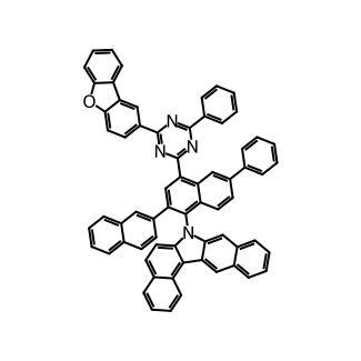 c1ccc(-c2ccc3c(-n4c5cc6ccccc6cc5c5c6ccccc6ccc54)c(-c4ccc5ccccc5c4)cc(-c4nc(-c5ccccc5)nc(-c5ccc6oc7ccccc7c6c5)n4)c3c2)cc1